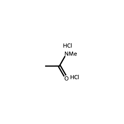 CNC(C)=O.Cl.Cl